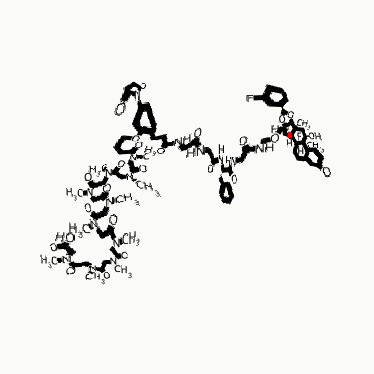 CN(CC(=O)O)C(=O)CN(C)C(=O)CN(C)C(=O)CN(C)C(=O)CN(C)C(=O)CN(C)C(=O)CN(C)C(=O)CN(C)C(=O)CN(C)C(=O)CN(C)C(=O)CCCOc1cc(N2C(=O)C=CC2=O)ccc1CCC(=O)NCC(=O)NCC(=O)N[C@@H](Cc1ccccc1)C(=O)NCC(=O)NCOCC(=O)[C@@]12O[C@H](c3cccc(F)c3)O[C@@H]1C[C@H]1[C@@H]3CCC4=CC(=O)C=C[C@]4(C)[C@@]3(F)[C@@H](O)C[C@@]12C